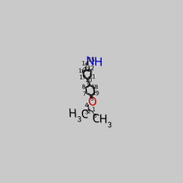 CCC(C)COc1ccc(-c2ccc(C=N)cc2)cc1